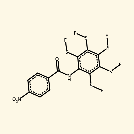 O=C(Nc1c(SF)c(SF)c(SF)c(SF)c1SF)c1ccc([N+](=O)[O-])cc1